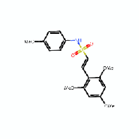 COc1ccc(NS(=O)(=O)C=Cc2c(OC)cc(OC)cc2OC)cc1